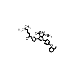 CN(C)CC=CC(=O)N1CCC(c2cn(-c3ccc(Oc4ccccc4F)cc3)c3c(N)n[nH]c(=O)c23)C1